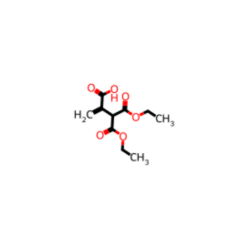 C=C(C(=O)O)C(C(=O)OCC)C(=O)OCC